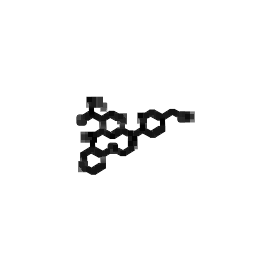 CCOc1ccncc1Nc1cc(Nc2ccc(CO)cn2)ncc1C(N)=O